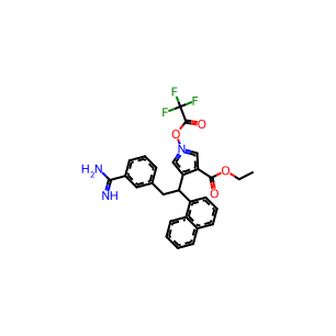 CCOC(=O)c1cn(OC(=O)C(F)(F)F)cc1C(Cc1cccc(C(=N)N)c1)c1cccc2ccccc12